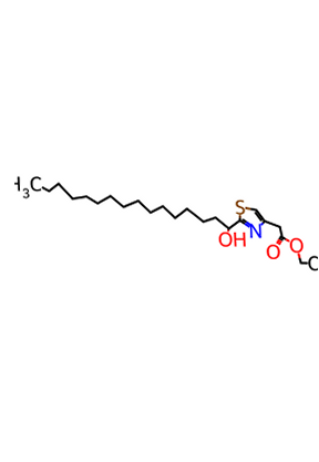 CCCCCCCCCCCCCCCC(O)c1nc(CC(=O)OCC)cs1